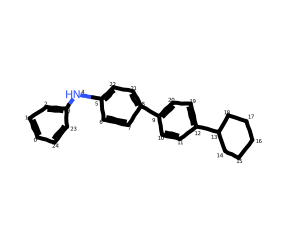 c1ccc(Nc2ccc(-c3ccc(C4CCCCC4)cc3)cc2)cc1